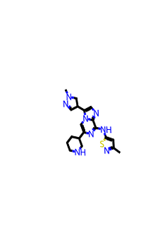 Cc1cc(Nc2nc(C3CCCNC3)cn3c(C4C=NN(C)C4)cnc23)sn1